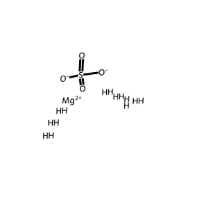 O=S(=O)([O-])[O-].[HH].[HH].[HH].[HH].[HH].[HH].[HH].[Mg+2]